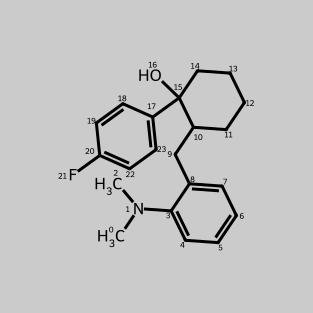 CN(C)c1ccccc1CC1CCCCC1(O)c1ccc(F)cc1